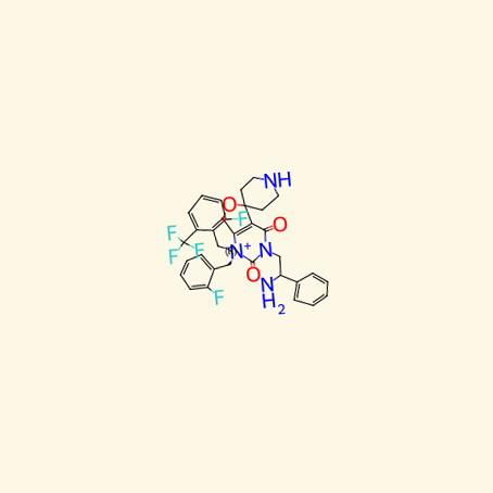 NC(CN1C(=O)C2=C(COC23CCNCC3)[N@@+](Cc2ccccc2F)(Cc2c(F)cccc2C(F)(F)F)C1=O)c1ccccc1